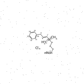 CCCCCCCCCCCC[N+](C)(C)C=CCc1ccccc1.[Cl-]